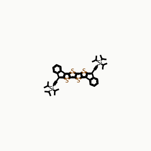 CC(C)[Si](C#CC1=c2sc3c(sc4c5sc6c(c5sc34)-c3ccccc3C=6C#C[Si](C(C)C)(C(C)C)C(C)C)c2-c2ccccc21)(C(C)C)C(C)C